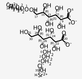 O.O.O.O.O.O.O=C([O-])[C@H](O)[C@@H](O)[C@H](O)[C@H](O)CO.O=C([O-])[C@H](O)[C@@H](O)[C@H](O)[C@H](O)CO.[Cl-].[Cl-].[Cu+2].[KH].[Sr+2]